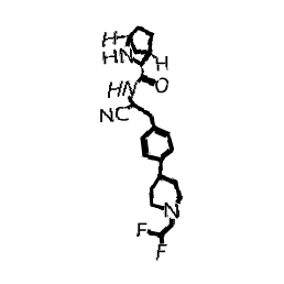 N#C[C@H](Cc1ccc(C2CCN(CC(F)F)CC2)cc1)NC(=O)[C@H]1N[C@@H]2CC[C@H]1C2